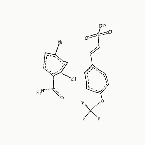 NC(=O)c1ccc(Br)cc1Cl.O=S(=O)(O)C=Cc1ccc(OC(F)(F)F)cc1